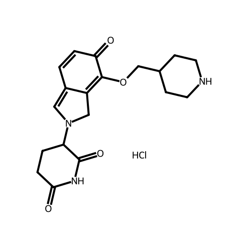 Cl.O=C1CCC(N2C=C3C=CC(=O)C(OCC4CCNCC4)=C3C2)C(=O)N1